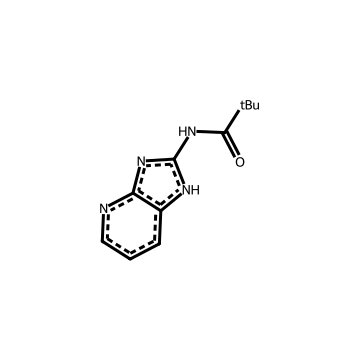 CC(C)(C)C(=O)Nc1nc2ncccc2[nH]1